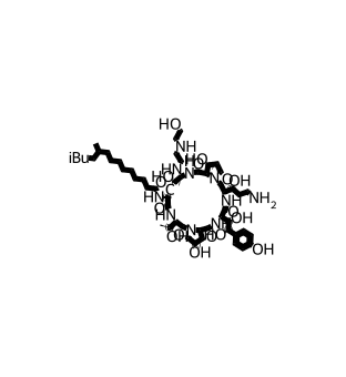 CCC(C)CC(C)CCCCCCCCC(=O)N[C@H]1C[C@@H](O)C(NCCNCCO)NC(=O)C2[C@@H](O)CCN2C(=O)C([C@H](O)CCN)NC(=O)C([C@H](O)[C@@H](O)c2ccc(O)cc2)NC(=O)C2C[C@@H](O)CN2C(=O)C([C@@H](C)O)NC1=O